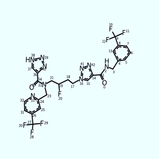 O=C(NCc1cccc(C(F)(F)F)c1)c1cn(CCC(F)CN(Cc2cc(C(F)(F)F)ccn2)C(=O)c2c[nH]nn2)nn1